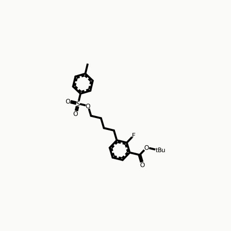 Cc1ccc(S(=O)(=O)OCCCCc2cccc(C(=O)OC(C)(C)C)c2F)cc1